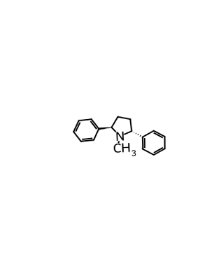 CN1[C@@H](c2ccccc2)CC[C@@H]1c1ccccc1